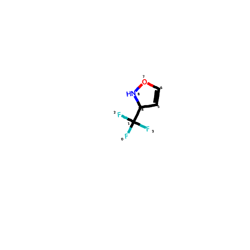 FC(F)(F)[C]1C=CON1